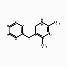 CC1=NC(C)=C(Cc2ccccc2)[CH]N1